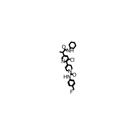 CC(C(=O)NC1CCCCC1)c1cnc(C2=CCN(C(=O)Nc3ccc(CF)cc3)CC2)c(Cl)c1